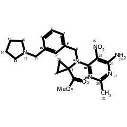 COC(=O)C1(N(Cc2cccc(CN3CCCC3)c2)c2nc(C)nc(N)c2[N+](=O)[O-])CC1